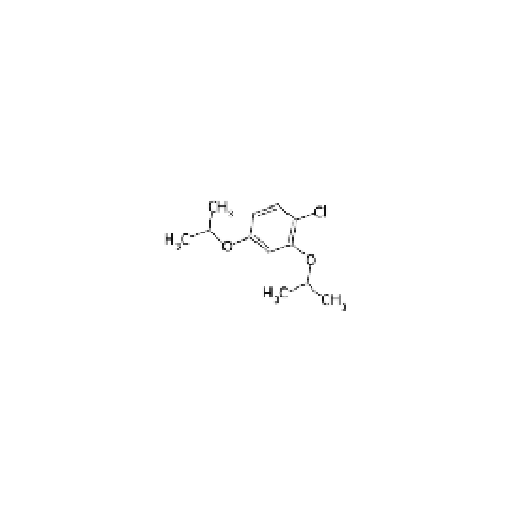 CC(C)Oc1ccc(Cl)c(OC(C)C)c1